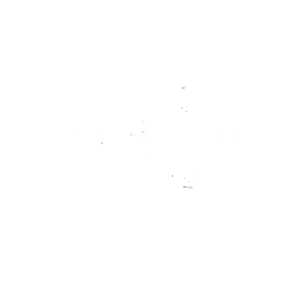 C1=Cc2cc3cc(Oc4ccccc4)c(cc4nc(cc5ccc(cc1n2)[nH]5)C=C4)[nH]3